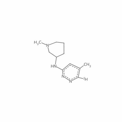 [2H]c1nnc(NC2CCCN(C)C2)cc1C